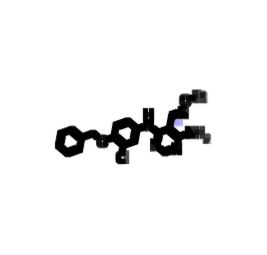 CCO/N=C/c1c(N)ncnc1Nc1ccc(OCc2ccccc2)c(Cl)c1